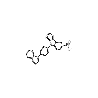 O=[N+]([O-])c1ccc2c(c1)c1cccnc1n2-c1ccc(-c2ccnc3cccnc23)cc1